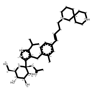 CC(=O)O[C@]1(c2n[nH]c(C(C)C)c2Cc2ccc(/C=C/CCN3CCCC4(CCNCC4)C3)cc2C)O[C@H](CO)[C@@H](O)[C@H](O)[C@H]1O